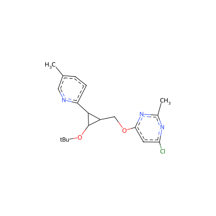 Cc1ccc(C2C(COc3cc(Cl)nc(C)n3)C2OC(C)(C)C)nc1